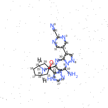 N#Cc1ncc(-c2cnn3c(N)cc([C@H]4C[C@H]5CC[C@@H](C4)N5C(=O)c4nnc[nH]4)nc23)cn1